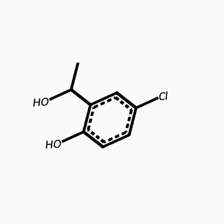 CC(O)c1cc(Cl)ccc1O